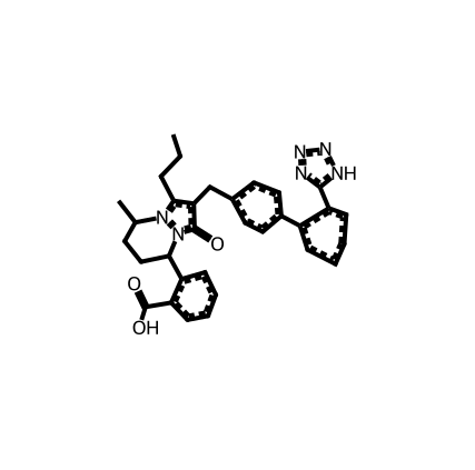 CCCc1c(Cc2ccc(-c3ccccc3-c3nnn[nH]3)cc2)c(=O)n2n1C(C)CCC2c1ccccc1C(=O)O